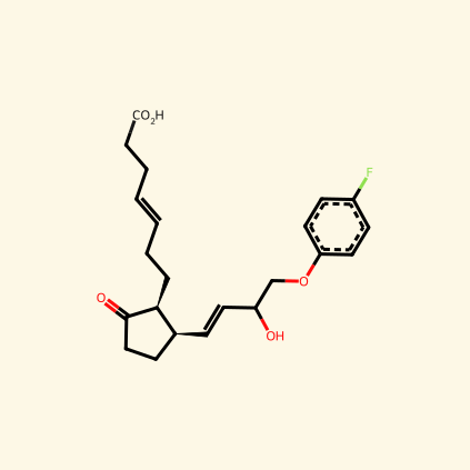 O=C(O)CCC=CCC[C@@H]1C(=O)CC[C@@H]1/C=C/C(O)COc1ccc(F)cc1